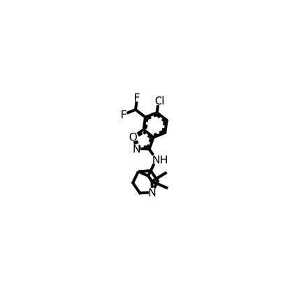 CC1(C)C(Nc2noc3c(C(F)F)c(Cl)ccc23)C2CCN1CC2